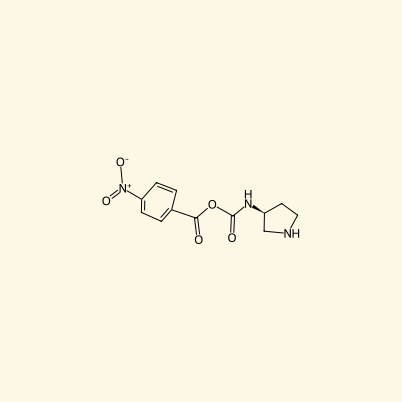 O=C(N[C@H]1CCNC1)OC(=O)c1ccc([N+](=O)[O-])cc1